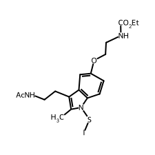 CCOC(=O)NCCOc1ccc2c(c1)c(CCNC(C)=O)c(C)n2SI